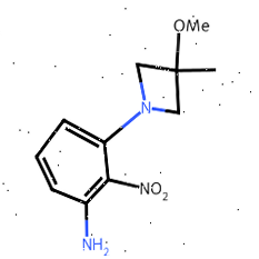 COC1(C)CN(c2cccc(N)c2[N+](=O)[O-])C1